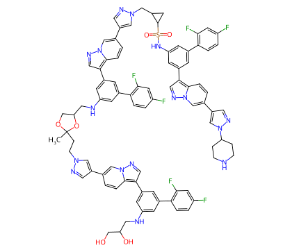 CC1(CCn2cc(-c3ccc4c(-c5cc(NCC(O)CO)cc(-c6ccc(F)cc6F)c5)cnn4c3)cn2)OCC(CNc2cc(-c3ccc(F)cc3F)cc(-c3cnn4cc(-c5cnn(CC6CC6S(=O)(=O)Nc6cc(-c7ccc(F)cc7F)cc(-c7cnn8cc(-c9cnn(C%10CCNCC%10)c9)ccc78)c6)c5)ccc34)c2)O1